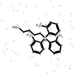 CCCCCCCCCCCCCC[PH](c1ccccc1C)(c1ccccc1C)c1ccccc1C